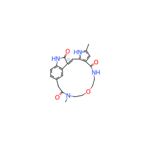 Cc1cc2c([nH]1)/C=C1\C(=O)Nc3ccc(cc31)CC(=O)N(C)CCOCCNC2=O